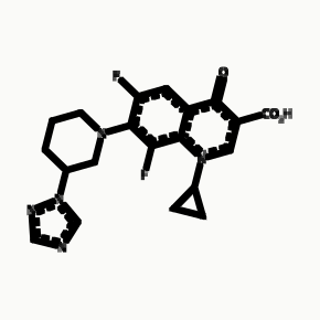 O=C(O)c1cn(C2CC2)c2c(F)c(N3CCCC(n4cncn4)C3)c(F)cc2c1=O